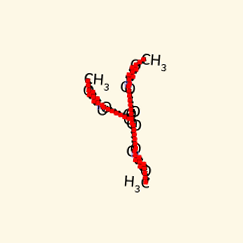 CCCCCOc1ccc(-c2ccc(/C=C/C(=O)OCCCCCCCCCC(=O)OCC(COC(=O)CCCCCCCCCOC(=O)/C=C/c3ccc(-c4ccc(OCCCCC)cc4)cc3)OC(=O)CCCCCCCCCOC(=O)/C=C/c3ccc(-c4ccc(OCCCCC)cc4)cc3)cc2)cc1